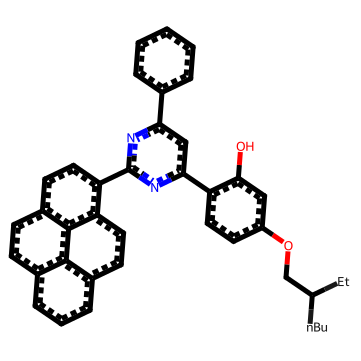 CCCCC(CC)COc1ccc(-c2cc(-c3ccccc3)nc(-c3ccc4ccc5cccc6ccc3c4c56)n2)c(O)c1